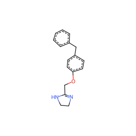 c1ccc(Cc2ccc(OCC3=NCCN3)cc2)cc1